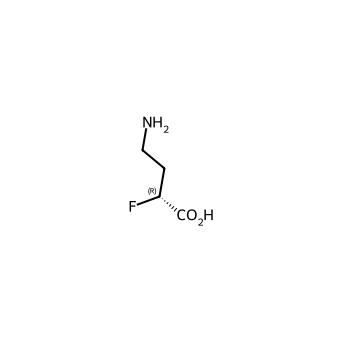 NCC[C@@H](F)C(=O)O